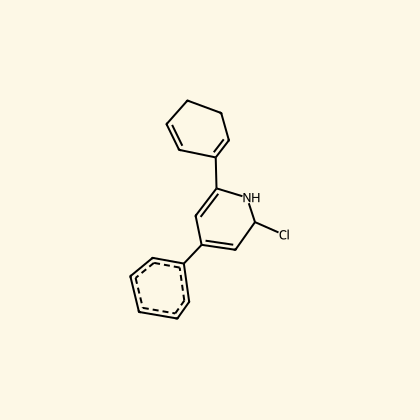 ClC1C=C(c2ccccc2)C=C(C2=CCCC=C2)N1